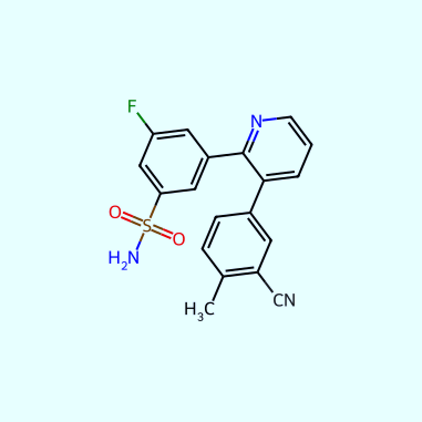 Cc1ccc(-c2cccnc2-c2cc(F)cc(S(N)(=O)=O)c2)cc1C#N